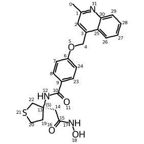 Cc1cc(COc2ccc(C(=O)N[C@@]3(CC(=O)NO)CCSC3)cc2)c2ccccc2n1